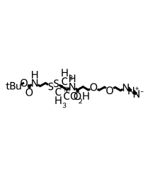 CC(C)(C)OC(=O)NCCSSC(C)(C)[C@H](NC(=O)CCOCCOCCN=[N+]=[N-])C(=O)O